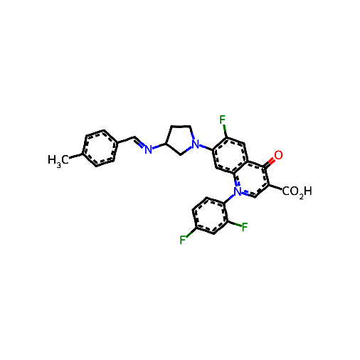 Cc1ccc(C=NC2CCN(c3cc4c(cc3F)c(=O)c(C(=O)O)cn4-c3ccc(F)cc3F)C2)cc1